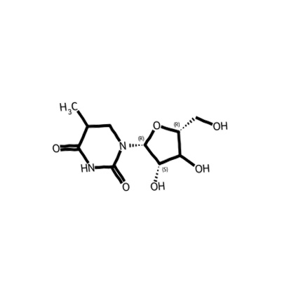 CC1CN([C@@H]2O[C@H](CO)C(O)[C@@H]2O)C(=O)NC1=O